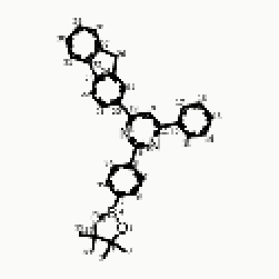 CC1(C)OB(c2ccc(-c3nc(-c4ccccc4)cc(-c4ccc5c(c4)Cc4ccccc4-5)n3)cc2)OC1(C)C